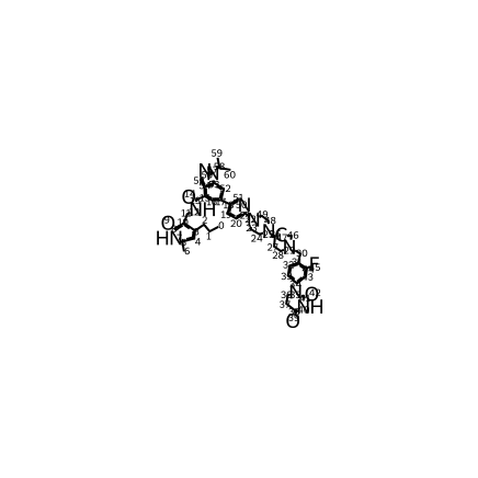 CCCc1cc(C)[nH]c(=O)c1CNC(=O)c1cc(-c2ccc(N3CCN(C4CCN(Cc5ccc(N6CCC(=O)NC6=O)cc5F)CC4)CC3)nc2)cc2c1cnn2C(C)C